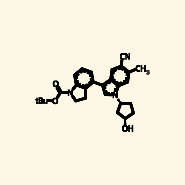 Cc1cc2c(cc1C#N)c(-c1cccc3c1CCN3C(=O)OC(C)(C)C)cn2[C@@H]1CC[C@@H](O)C1